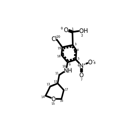 O=C(O)c1cc([N+](=O)[O-])c(NCC2CCOCC2)cc1Cl